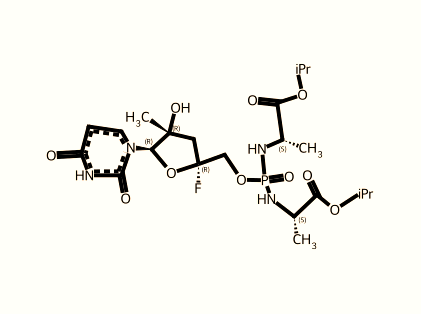 CC(C)OC(=O)[C@H](C)NP(=O)(N[C@@H](C)C(=O)OC(C)C)OC[C@]1(F)C[C@@](C)(O)[C@H](n2ccc(=O)[nH]c2=O)O1